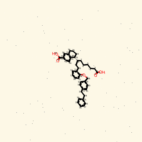 O=C(O)CCCCCC(CCc1ccccc1OCc1ccc(CCc2ccccc2)cc1)[C@H]1CCCc2cc(C(=O)O)ccc21